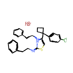 Br.Clc1ccc(C2(c3csc(=NCCc4ccccc4)n3CCc3ccccc3)CCC2)cc1